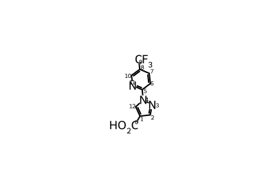 O=C(O)c1cnn(-c2ccc(C(F)(F)F)cn2)c1